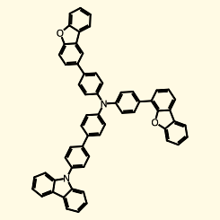 c1ccc2c(c1)oc1ccc(-c3ccc(N(c4ccc(-c5ccc(-n6c7ccccc7c7ccccc76)cc5)cc4)c4ccc(-c5cccc6c5oc5ccccc56)cc4)cc3)cc12